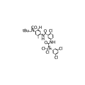 Cc1cc(N(CC(C)(C)C)C(=O)O)ccc1NC(=O)c1cc(NC(=O)[C@H]2[C@H](c3cc(Cl)cc(Cl)c3)C2(Cl)Cl)ccc1Cl